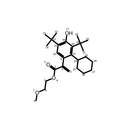 C=C(C(=O)OCCOC)c1cc(C(C)(C)C)c(O)c(C(C)(C)C)c1C1CCCCC1